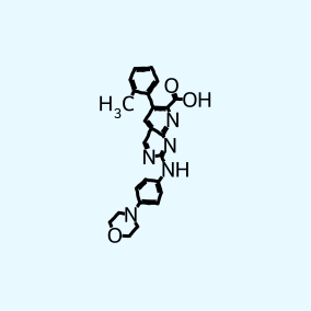 Cc1ccccc1-c1cc2cnc(Nc3ccc(N4CCOCC4)cc3)nc2nc1C(=O)O